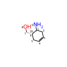 N[C]1CC=CC[C@@H]1CO